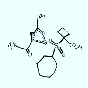 CC(C)(C)c1cc(C(N)=O)no1.O=C(O)C1(S(=O)(=O)C2CCCCC2)CCC1